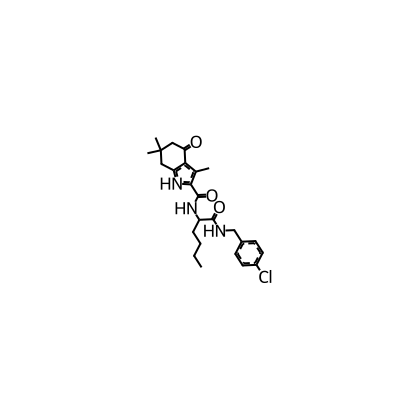 CCCCC(NC(=O)c1[nH]c2c(c1C)C(=O)CC(C)(C)C2)C(=O)NCc1ccc(Cl)cc1